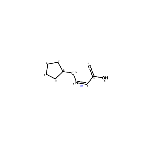 O=C(O)/C=N\OC1CCCC1